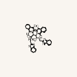 O=C(NCc1nc2ccccc2s1)C(C(C(=O)NCc1nc2ccccc2s1)n1[nH]c(=O)c2ccccc2c1=O)n1[nH]c(=O)c2ccccc2c1=O